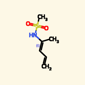 C=C/C=C(\C)NS(C)(=O)=O